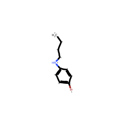 CCCCNc1ccc(Br)cc1